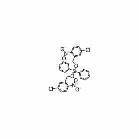 O=[N+]([O-])c1ccc(Cl)cc1CO[Si](OCc1cc(Cl)ccc1[N+](=O)[O-])(c1ccccc1)c1ccccc1